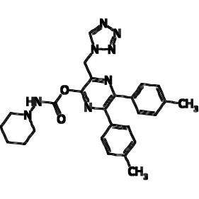 Cc1ccc(-c2nc(Cn3cnnn3)c(OC(=O)NN3CCCCC3)nc2-c2ccc(C)cc2)cc1